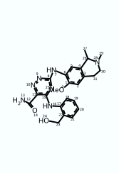 COc1cc2c(cc1Nc1nnc(C(N)=O)c(Nc3ccccc3CO)n1)C(C)N(C)CC2